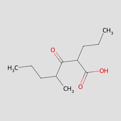 CCCC(C)C(=O)C(CCC)C(=O)O